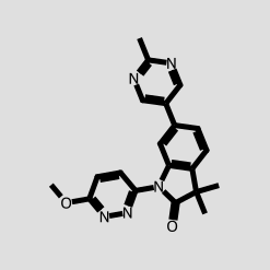 COc1ccc(N2C(=O)C(C)(C)c3ccc(-c4cnc(C)nc4)cc32)nn1